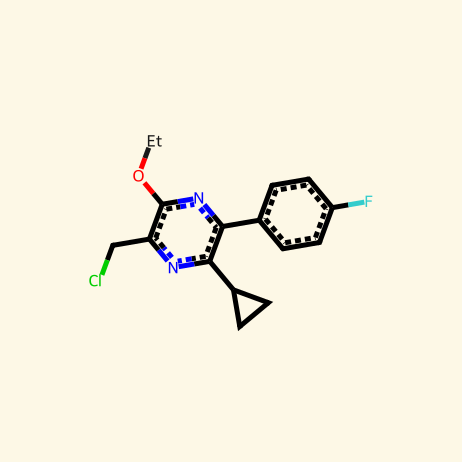 CCOc1nc(-c2ccc(F)cc2)c(C2CC2)nc1CCl